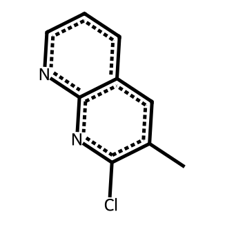 Cc1cc2cccnc2nc1Cl